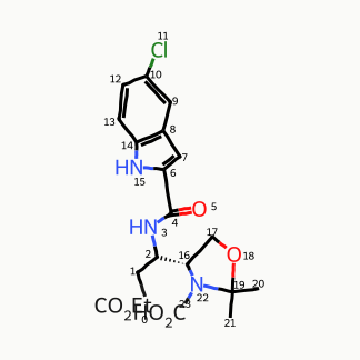 CCOC(=O)CC(NC(=O)c1cc2cc(Cl)ccc2[nH]1)[C@@H]1COC(C)(C)N1C(=O)O